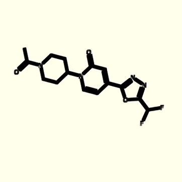 CC(=O)N1CCC(n2ccc(-c3nnc(C(F)F)o3)cc2=O)CC1